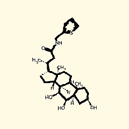 C[C@H](CC(=O)NCc1cccs1)[C@H]1CC[C@H]2[C@@H]3[C@H](O)[C@H](O)[C@@H]4C[C@H](O)CC[C@]4(C)[C@H]3CC[C@]12C